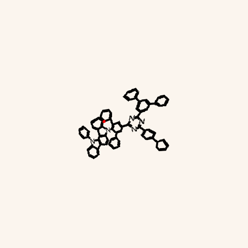 C1=CCC(c2ccc(-c3nc(-c4cc(-c5ccccc5)cc(-c5ccccc5)c4)nc(-c4cc(-c5ccccc5)c(-n5c6ccccc6c6c5ccc5c7ccccc7n(-c7ccccc7)c56)c(-c5ccccc5)c4)n3)cc2)C=C1